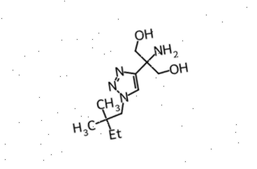 CCC(C)(C)Cn1cc(C(N)(CO)CO)nn1